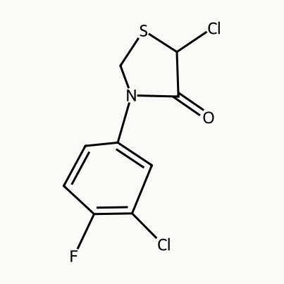 O=C1C(Cl)SCN1c1ccc(F)c(Cl)c1